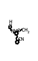 C=CCOc1cc(/C=C/c2ccccc2C#N)cc(CNCC2CCNC2)c1